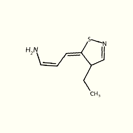 CCC1C=NS/C1=C/C=C\N